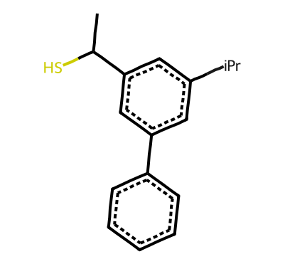 CC(C)c1cc(-c2ccccc2)cc(C(C)S)c1